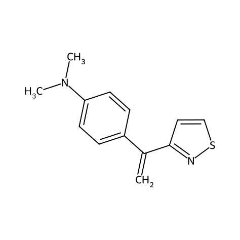 C=C(c1ccc(N(C)C)cc1)c1ccsn1